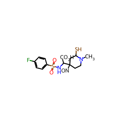 CN1CCC(N=O)(C(NS(=O)(=O)c2ccc(F)cc2)C(=O)O)CC1S